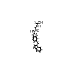 O=C(O)NCC(=O)Nc1nc2ccc(Sc3cnc4ncccn34)cc2s1